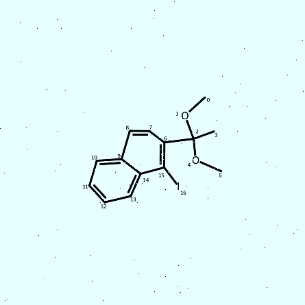 COC(C)(OC)c1ccc2ccccc2c1I